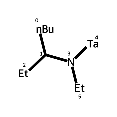 CCCCC(CC)[N]([Ta])CC